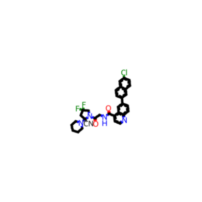 N#C[C@]1(N2CCCCC2)CC(F)(F)CN1C(=O)CNC(=O)c1ccnc2ccc(-c3ccc4cc(Cl)ccc4c3)cc12